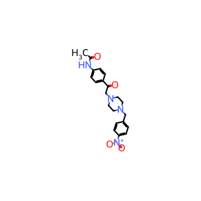 CC(=O)Nc1ccc(C(=O)CN2CCN(Cc3ccc([N+](=O)[O-])cc3)CC2)cc1